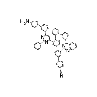 N#Cc1ccc(-c2cccc(-c3nc(-c4cccc(-c5ccccc5-c5ccccc5-c5cc(-c6cccc(-c7ccc(N)cc7)c6)nc(-c6ccccc6)n5)c4)c4ccccc4n3)c2)cc1